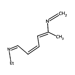 C=N/C(C)=C/C=C\C=N/CC